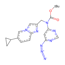 CC(C)(C)OC(=O)N(Cc1cn2cc(C3CC3)ccc2n1)c1cc(N=[N+]=[N-])ncn1